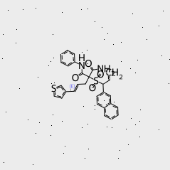 C=CC(c1ccc2ccccc2c1)S(=O)(=O)C(C/C=C/c1ccsc1)(C(N)=O)C(=O)Nc1ccccc1